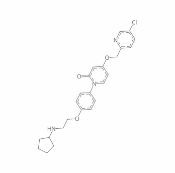 O=c1cc(OCc2ccc(Cl)cn2)ccn1-c1ccc(OCCNC2CCCC2)cc1